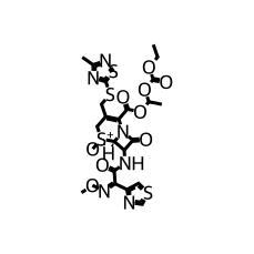 CCOC(=O)OC(C)OC(=O)C1=C(CSc2nc(C)ns2)C[S+]([O-])[C@@H]2C(NC(=O)/C(=N\OC)c3cscn3)C(=O)N12